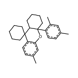 Cc1ccc(C23CCCCC2C2(CCCCC2)c2ccc(C)cc2O3)c(C)c1